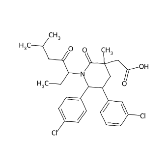 CCC(C(=O)CC(C)C)N1C(=O)C(C)(CC(=O)O)CC(c2cccc(Cl)c2)C1c1ccc(Cl)cc1